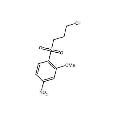 COc1cc([N+](=O)[O-])ccc1S(=O)(=O)CCCO